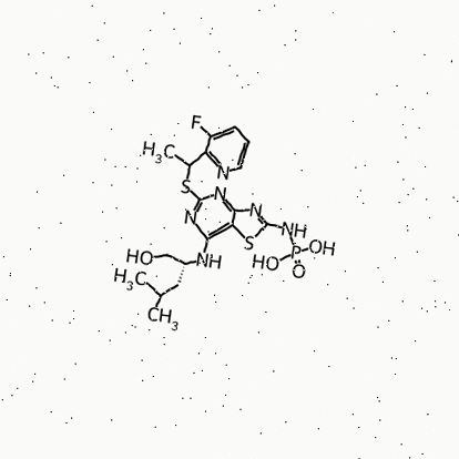 CC(C)C[C@H](CO)Nc1nc(SC(C)c2ncccc2F)nc2nc(NP(=O)(O)O)sc12